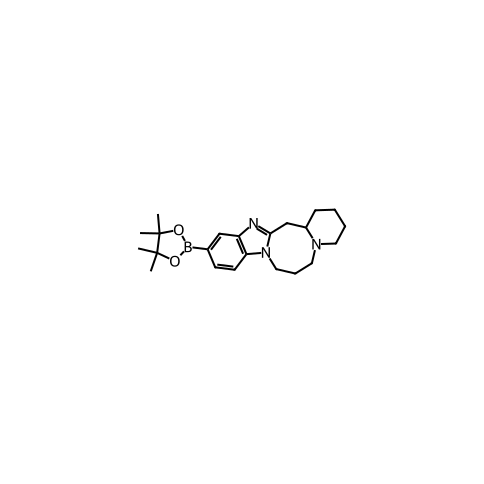 CC1(C)OB(c2ccc3c(c2)nc2n3CCCN3CCCCC3C2)OC1(C)C